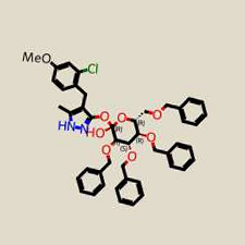 COc1ccc(Cc2c(O[C@]3(O)O[C@H](COCc4ccccc4)[C@@H](OCc4ccccc4)[C@H](OCc4ccccc4)[C@H]3OCc3ccccc3)n[nH]c2C)c(Cl)c1